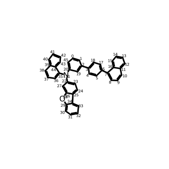 c1cc(-c2ccc(-c3cccc4ccccc34)cc2)cc(N(c2ccc3c(c2)oc2ccccc23)c2cccc3ccccc23)c1